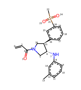 C=CC(=O)N1C[C@@H](Nc2cccc(C)c2)[C@H](c2cccc(S(C)(=O)=O)c2)C1